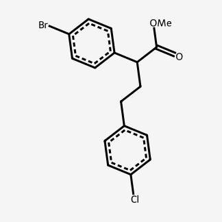 COC(=O)C(CCc1ccc(Cl)cc1)c1ccc(Br)cc1